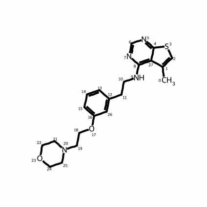 Cc1csc2ncnc(NCCc3cccc(OCCN4CCOCC4)c3)c12